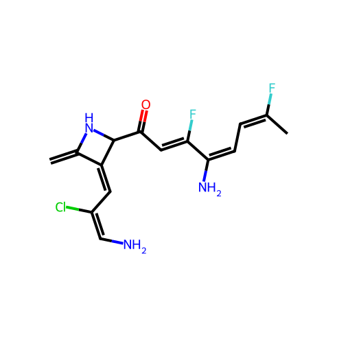 C=C1NC(C(=O)/C=C(F)/C(N)=C\C=C(/C)F)/C1=C/C(Cl)=C\N